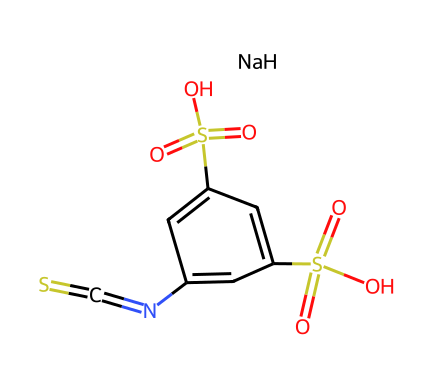 O=S(=O)(O)c1cc(N=C=S)cc(S(=O)(=O)O)c1.[NaH]